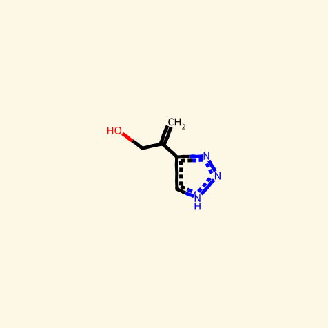 C=C(CO)c1c[nH]nn1